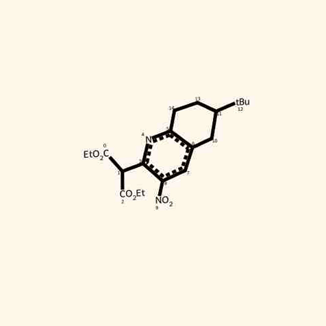 CCOC(=O)C(C(=O)OCC)c1nc2c(cc1[N+](=O)[O-])CC(C(C)(C)C)CC2